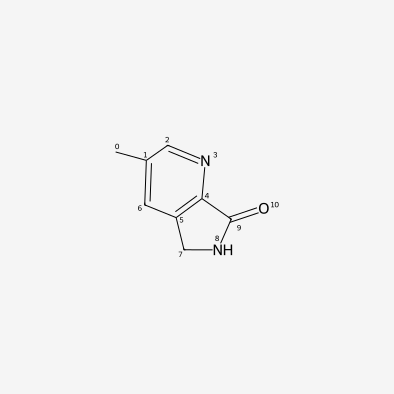 Cc1cnc2c(c1)CNC2=O